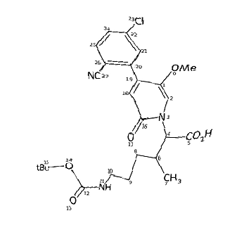 COc1cn(C(C(=O)O)C(C)CCCNC(=O)OC(C)(C)C)c(=O)cc1-c1cc(Cl)ccc1C#N